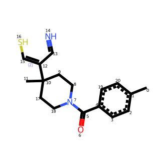 Cc1ccc(C(=O)N2CCC(C)(/C(C=N)=C/S)CC2)cc1